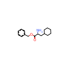 N[C@@H](CC1CCCCC1)C(=O)OCc1ccccc1